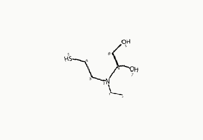 CCN(CCS)C(O)CO